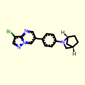 Brc1cnn2cc(-c3ccc(N4C[C@H]5CC[C@@H]4C5)cc3)cnc12